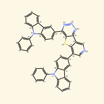 c1ccc(-n2c3ccccc3c3cc(-c4cncc5c4sc4c(-c6ccc7c(c6)c6ccccc6n7-c6ccccc6)nnnc45)ccc32)cc1